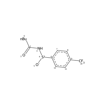 CCCCC(=O)N[S+]([O-])c1ccc(C(F)(F)F)cc1